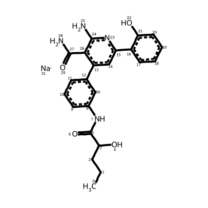 CCCC(O)C(=O)Nc1cccc(-c2cc(-c3ccccc3O)nc(N)c2C(N)=O)c1.[Na]